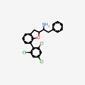 NC(Cc1ccccc1)C1Cc2cccc(-c3c(Cl)cc(Cl)cc3Cl)c2O1